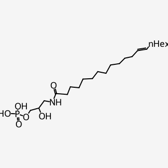 CCCCCCC=CCCCCCCCCCCCC(=O)NCC(O)COP(=O)(O)O